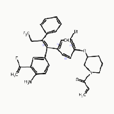 C=CC(=O)N1CCCC(OC(/C=C\C(=C/C)C(=C(\CC(F)(F)F)c2ccccc2)\c2ccc(N)c(C(=C)F)c2)=C\CC)C1